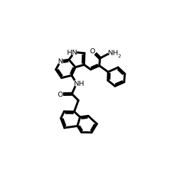 NC(=O)C(=Cc1c[nH]c2nccc(NC(=O)Cc3cccc4ccccc34)c12)c1ccccc1